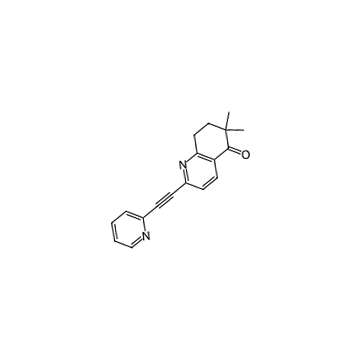 CC1(C)CCc2nc(C#Cc3ccccn3)ccc2C1=O